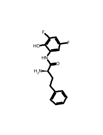 N[C@H](CCc1ccccc1)C(=O)Nc1cc(F)cc(F)c1O